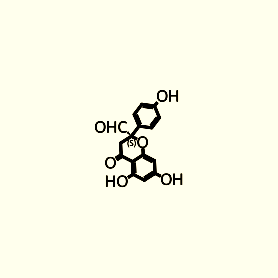 O=C[C@@]1(c2ccc(O)cc2)CC(=O)c2c(O)cc(O)cc2O1